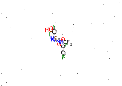 O=C1N([C@@H](c2ccc(-c3ccc(F)cc3)cc2F)C(F)(F)F)C(=O)C2(CC2)N1Cc1nnc(-c2ccc(F)c(O)c2F)s1